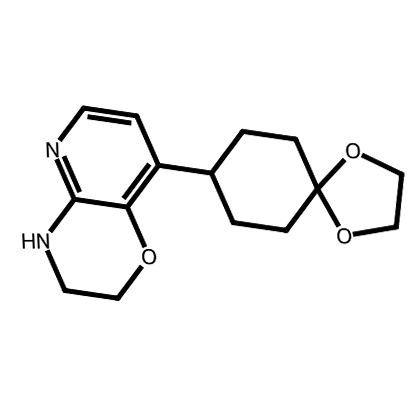 c1cc(C2CCC3(CC2)OCCO3)c2c(n1)NCCO2